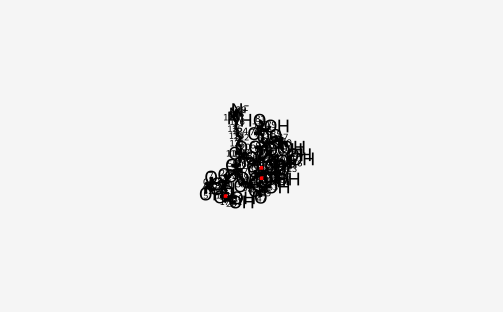 CC(CO)(CO)C(=O)OCC(C)(COC(=O)C(C)(CO)CO)C(=O)OCC(C)(COC(=O)C(C)(COC(=O)C(C)(CO)CO)COC(=O)C(C)(CO)CO)C(=O)OCC(C)(COC(=O)C(C)(COC(=O)C(C)(COC(=O)C(C)(CO)CO)COC(=O)C(C)(CO)CO)COC(=O)C(C)(COC(=O)C(C)(CO)CO)COC(=O)C(C)(CO)CO)C(=O)OCCCCCCN=[N+]=[N-]